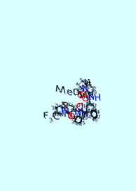 COC(=O)[C@@H]1CCC[C@@H]2SCC[C@H](NC(=O)[C@H](CC[C@H](Cc3ccccc3)C(=O)N[C@H]3CCSC4CC[C@@H](C(F)(F)F)CN4C3=O)Cc3ccccc3)C(=O)N21